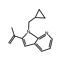 C=C(C)c1cc2cccnc2n1CC1CC1